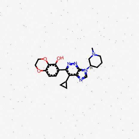 CN1CCC[C@@H](n2cnc3c(C4CC4)c(-c4ccc5c(c4O)OCCO5)nnc32)C1